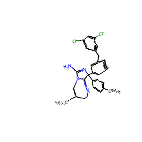 COc1ccc(C2(c3cccc(-c4cc(Cl)cc(Cl)c4)c3)N=C(N)N3CC(C(=O)O)CN=C32)cc1